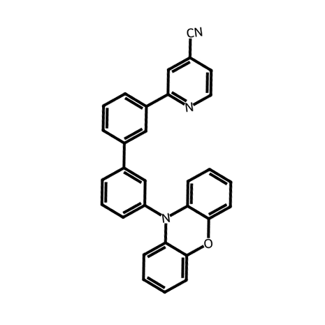 N#Cc1ccnc(-c2cccc(-c3cccc(N4c5ccccc5Oc5ccccc54)c3)c2)c1